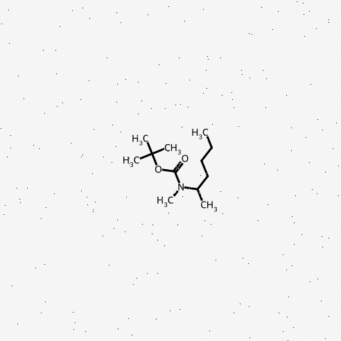 CCCCC(C)N(C)C(=O)OC(C)(C)C